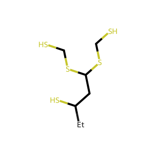 CCC(S)CC(SCS)SCS